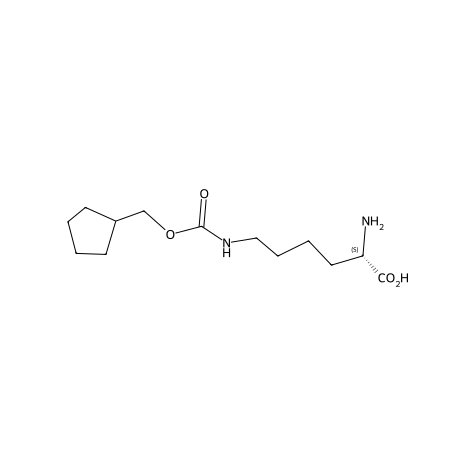 N[C@@H](CCCCNC(=O)OCC1CCCC1)C(=O)O